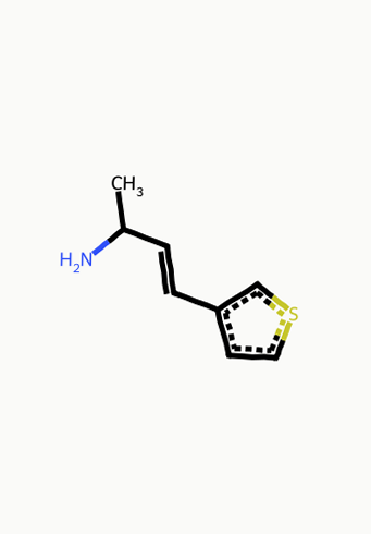 CC(N)C=Cc1ccsc1